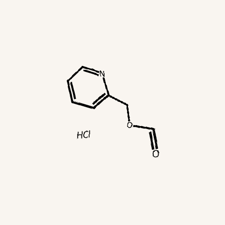 Cl.O=COCc1ccccn1